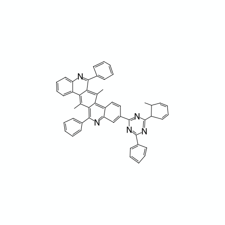 Cc1c2c(-c3ccccc3)nc3cc(-c4nc(-c5ccccc5)nc(C5C=CC=CC5C)n4)ccc3c2c(C)c2c(-c3ccccc3)nc3ccccc3c12